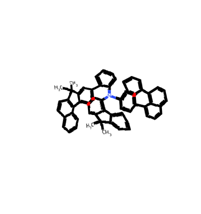 CC1(C)c2ccccc2-c2c(N(c3ccc(-c4cccc5cccc(-c6ccccc6)c45)cc3)c3ccccc3-c3ccc4c(c3)C(C)(C)c3ccc5ccccc5c3-4)cccc21